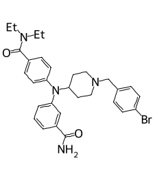 CCN(CC)C(=O)c1ccc(N(c2cccc(C(N)=O)c2)C2CCN(Cc3ccc(Br)cc3)CC2)cc1